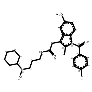 COc1ccc2c(c1)c(CC(=O)NCCCN(C(C)=O)C1CCCCC1)c(C)n2C(=O)c1ccc(Cl)cc1